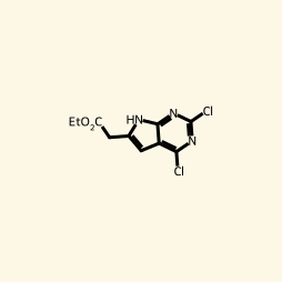 CCOC(=O)Cc1cc2c(Cl)nc(Cl)nc2[nH]1